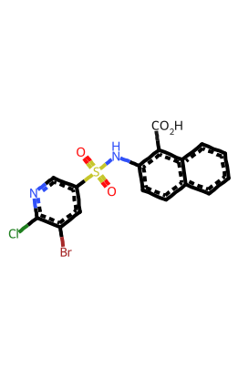 O=C(O)c1c(NS(=O)(=O)c2cnc(Cl)c(Br)c2)ccc2ccccc12